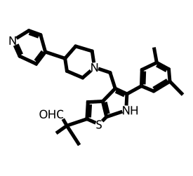 Cc1cc(C)cc(-c2[nH]c3sc(C(C)(C)C=O)cc3c2CN2CCC(c3ccncc3)CC2)c1